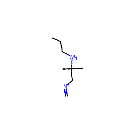 C=NCC(C)(C)NCCC